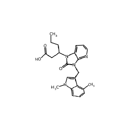 CCCC(CC(=O)O)n1c(=O)n(Cc2cn(C)c3cccc(C)c23)c2ncccc21